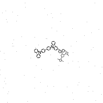 CC1CC(C)C1C1CC(C(=O)OCc2ccc3c(c2)c2ccccc2n3-c2ccc(-c3ccc(-n4c5ccccc5c5ccccc54)cc3)cc2)C(C2C(C)CC2C)C1